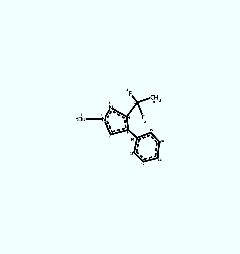 CC(F)(F)c1nn(C(C)(C)C)cc1-c1ccccc1